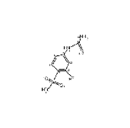 CS(=O)(=O)c1ccc(NC(N)=S)cc1F